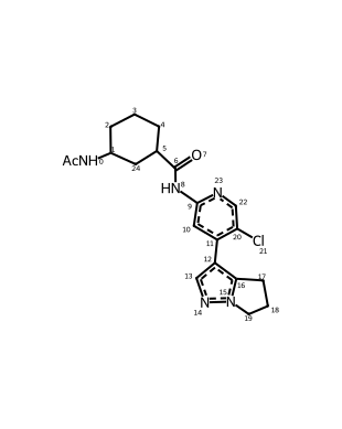 CC(=O)NC1CCCC(C(=O)Nc2cc(-c3cnn4c3CCC4)c(Cl)cn2)C1